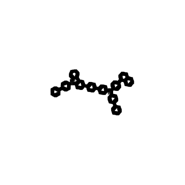 C1=c2c(n(-c3ccc(-c4ccccc4)cc3)c3ccc(-c4ccc(-c5ccc(N(c6ccc(-c7ccccc7)cc6)c6ccc(-c7cccc8ccccc78)cc6)cc5)cc4)cc23)=CCC1